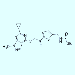 Cn1ncc2c(SCC(=O)c3ccc(CNC(=O)C(C)(C)C)s3)nc(C3CC3)nc21